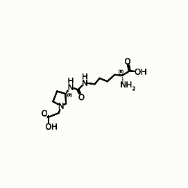 N[C@H](CCCCNC(=O)N[C@@H]1CCN(CC(=O)O)C1)C(=O)O